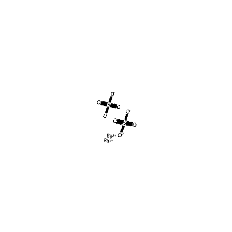 O=S(=O)([O-])[O-].O=S(=O)([O-])[O-].[Ba+2].[Ra+2]